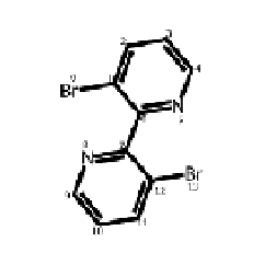 Brc1cccnc1-c1ncccc1Br